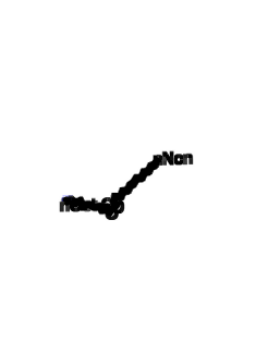 CCCCCCCC/C=C\CCCCCCCC(=O)OC(=O)C=CC=CC=CC=CC=CC=CCCCCCCCCC